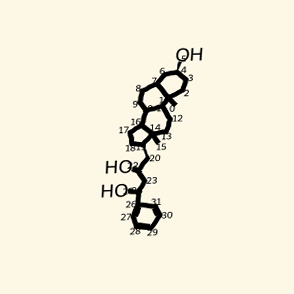 CC12CC[C@H](O)CC1CCC1C2CCC2(C)C1CC[C@@H]2CC(O)CC(O)c1ccccc1